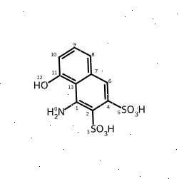 Nc1c(S(=O)(=O)O)c(S(=O)(=O)O)cc2cccc(O)c12